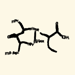 CCC(C)C(=O)O.CCCCCCCC(CCC)C(=O)C(CCC)CCCCCCC.CC[CH]CCCC